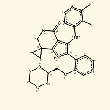 Cc1c(F)cccc1Nc1c(-c2ccncc2OC[C@H]2COCCO2)[nH]c2c1C(=O)NCC21CC1